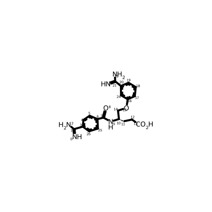 N=C(N)c1ccc(C(=O)N[C@@H](CCC(=O)O)COc2cccc(C(=N)N)c2)cc1